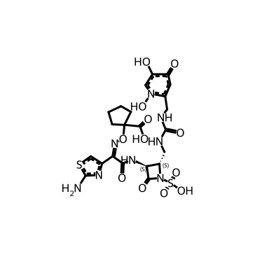 Nc1nc(C(=NOC2(C(=O)O)CCCC2)C(=O)N[C@@H]2C(=O)N(S(=O)(=O)O)[C@H]2CNC(=O)NCc2cc(=O)c(O)cn2O)cs1